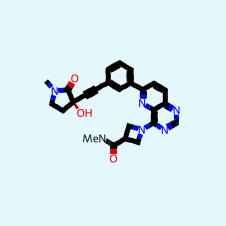 CNC(=O)C1CN(c2ncnc3ccc(-c4cccc(C#C[C@]5(O)CCN(C)C5=O)c4)nc23)C1